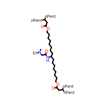 CCCCCC(CCCCC)CC(=O)OCCCCCCCCC(CCCCCCCCOC(=O)CC(CCCCC)CCCCC)NC(=O)CN(C)CC